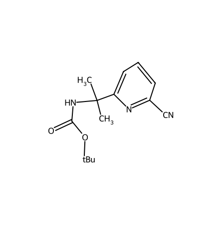 CC(C)(C)OC(=O)NC(C)(C)c1cccc(C#N)n1